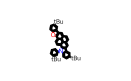 CC(C)(C)c1cccc(-n2c3ccc(C(C)(C)C)cc3c3cc4ccc5cc6c7cc(C(C)(C)C)ccc7oc6c6ccc(c4c56)c32)c1